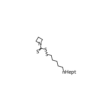 CCCCCCCCCCCCSSC(=S)N1CCC1